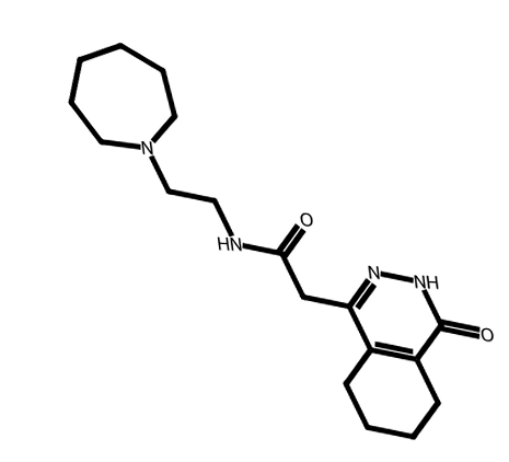 O=C(Cc1n[nH]c(=O)c2c1CCCC2)NCCN1CCCCCC1